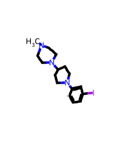 CN1CCN(C2CCN(c3[c]ccc(I)c3)CC2)CC1